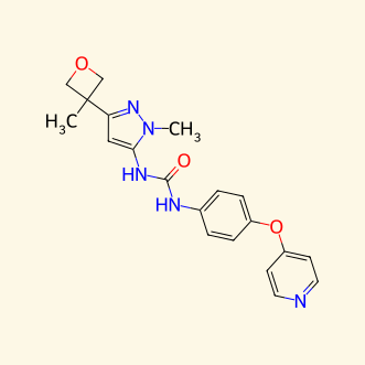 Cn1nc(C2(C)COC2)cc1NC(=O)Nc1ccc(Oc2ccncc2)cc1